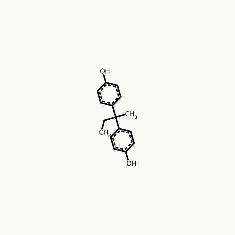 CCC(C)(c1ccc(O)cc1)c1ccc(O)cc1